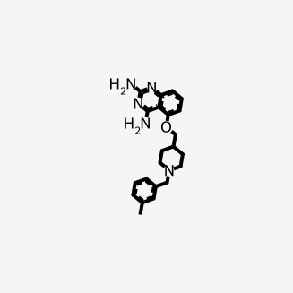 Cc1cccc(CN2CCC(COc3cccc4nc(N)nc(N)c34)CC2)c1